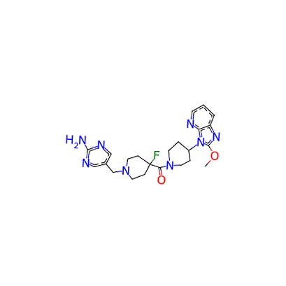 COc1nc2cccnc2n1C1CCN(C(=O)C2(F)CCN(Cc3cnc(N)nc3)CC2)CC1